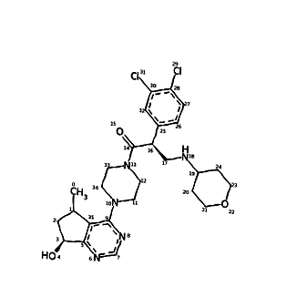 CC1C[C@H](O)c2ncnc(N3CCN(C(=O)[C@H](CNC4CCOCC4)c4ccc(Cl)c(Cl)c4)CC3)c21